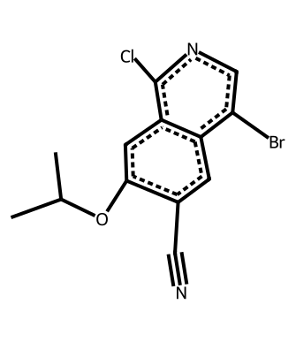 CC(C)Oc1cc2c(Cl)ncc(Br)c2cc1C#N